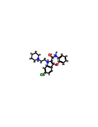 CN1C(=O)c2c(c3ccc(Cl)cc3n2CCN2CCCCC2)Oc2ccccc21